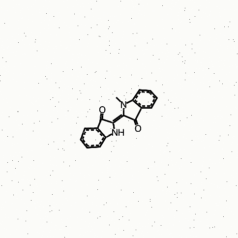 CN1/C(=C2/Nc3ccccc3C2=O)C(=O)c2ccccc21